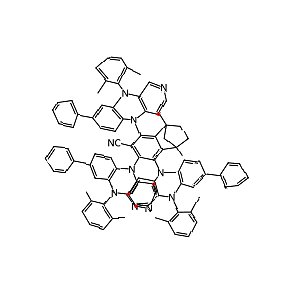 Cc1cccc(C)c1N1c2cnccc2N(c2c(C#N)c(N3c4ccncc4N(c4c(C)cccc4C)c4cc(-c5ccccc5)ccc43)c3c(c2N2c4ccncc4N(c4c(C)cccc4C)c4cc(-c5ccccc5)ccc42)C2(C)CCC3(C)C2)c2ccc(-c3ccccc3)cc21